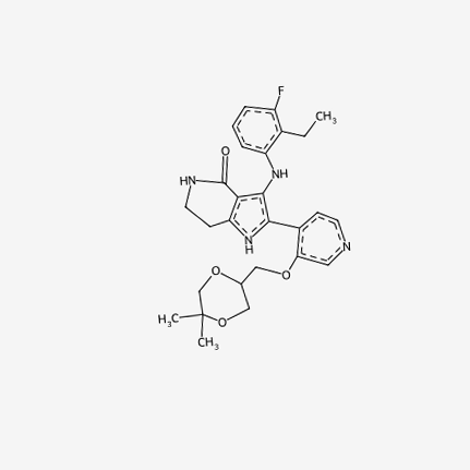 CCc1c(F)cccc1Nc1c(-c2ccncc2OCC2COC(C)(C)CO2)[nH]c2c1C(=O)NCC2